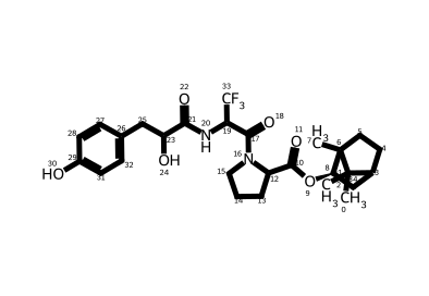 CC1(C)C2CCC1(C)[C@H](OC(=O)C1CCCN1C(=O)C(NC(=O)C(O)Cc1ccc(O)cc1)C(F)(F)F)C2